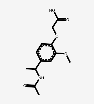 COc1cc(C(C)NC(C)=O)ccc1OCC(=O)O